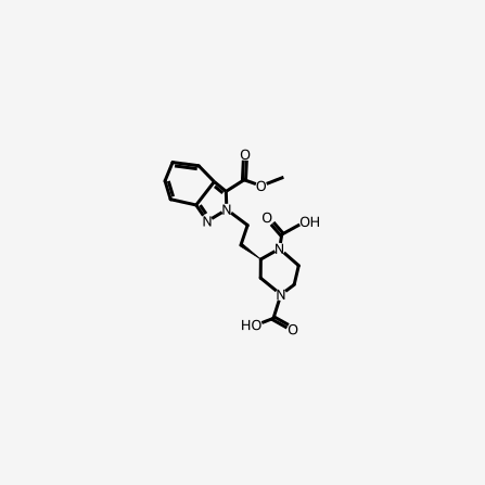 COC(=O)c1c2ccccc2nn1CC[C@@H]1CN(C(=O)O)CCN1C(=O)O